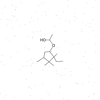 CCC1(C)C(OC(C)O)CC(C)C1(C)C